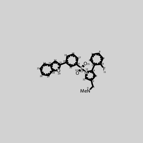 CNCc1cc(-c2ccccc2F)n(S(=O)(=O)c2cccc(-c3cc4ccccc4o3)c2)c1